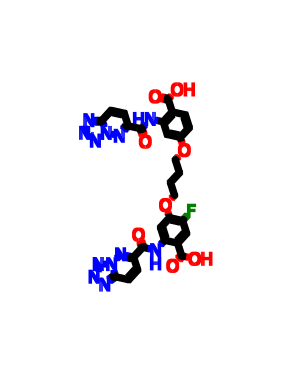 O=C(Nc1cc(OCCCCOc2cc(NC(=O)c3ccc4nnnn4n3)c(C(=O)O)cc2F)ccc1C(=O)O)c1ccc2nnnn2n1